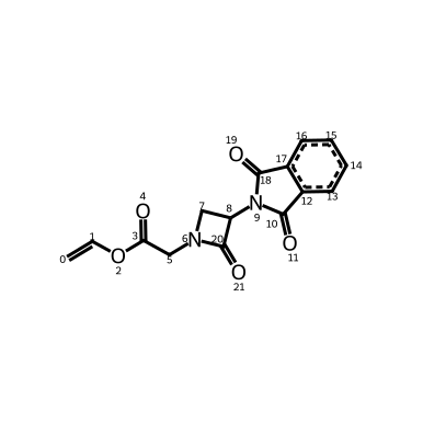 C=COC(=O)CN1CC(N2C(=O)c3ccccc3C2=O)C1=O